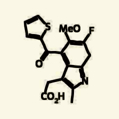 COC1=C(F)CC2=NC(C)=C(CC(=O)O)C2=C1C(=O)c1cccs1